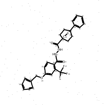 O=C(NNC(=O)C12CCC(c3ccccc3)(CC1)CC2)c1ccc(OCc2ccccc2)cc1C(F)(F)F